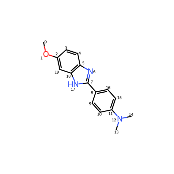 COc1ccc2nc(-c3ccc(N(C)C)cc3)[nH]c2c1